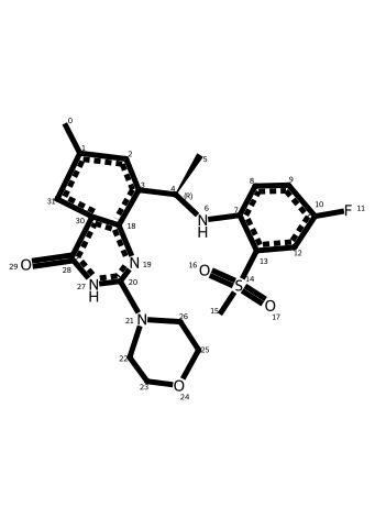 Cc1cc([C@@H](C)Nc2ccc(F)cc2S(C)(=O)=O)c2nc(N3CCOCC3)[nH]c(=O)c2c1